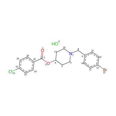 Cl.O=C(OC1CCN(Cc2ccc(Br)cc2)CC1)c1ccc(Cl)cc1